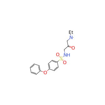 CC[N]CC(=O)CNS(=O)(=O)c1ccc(Oc2ccccc2)cc1